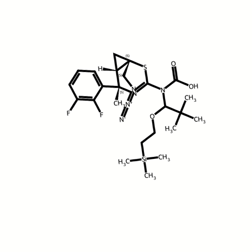 CC(C)(C)C(OCC[Si](C)(C)C)N(C(=O)O)C1=N[C@](C)(c2cccc(F)c2F)[C@@H]2C[C@]2(CN=[N+]=[N-])S1